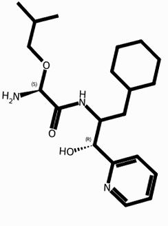 CC(C)CO[C@H](N)C(=O)NC(CC1CCCCC1)[C@@H](O)c1ccccn1